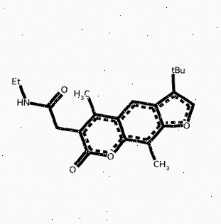 CCNC(=O)Cc1c(C)c2cc3c(C(C)(C)C)coc3c(C)c2oc1=O